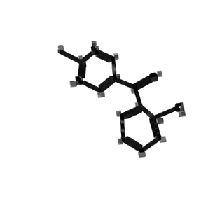 Cc1ncc(C(=O)c2ccccc2Cl)cn1